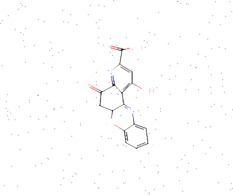 O=C(O)c1cc(O)c2c(n1)C(=O)CC1Oc3ccccc3N=C21